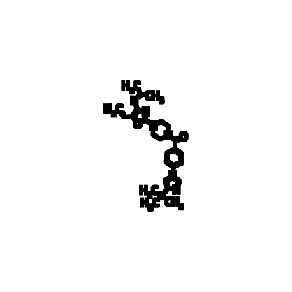 C=Cc1oc(N2CCN(C(=O)c3ccc(-n4cnc(C(C)(C)C)c4)cc3)CC2)nc1N=C(C)C